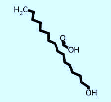 CCCCCCCCCCCCCCCCO.O=CO